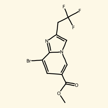 COC(=O)c1cc(Br)c2nc(CC(F)(F)F)cn2c1